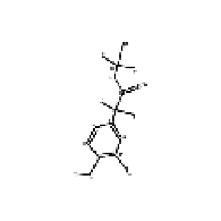 CCc1ccc(C(C)(C)C(=O)CC(C)(C)C)cc1I